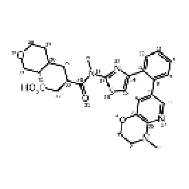 CN1CCOc2cc(-c3ccccc3-c3csc(N(C)C(=O)[C@@H](CC(=O)O)CC4CCOCC4)n3)cnc21